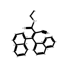 CCOC(=O)C(C#N)=C(c1cccc2ccccc12)c1cccc2ccccc12